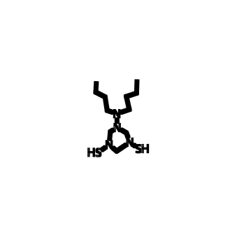 CCCCN(CCCC)N1CN(S)CN(S)C1